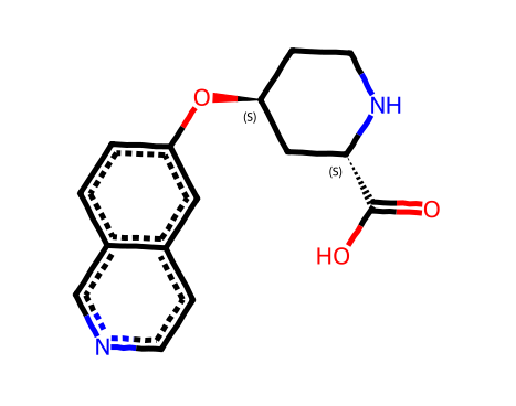 O=C(O)[C@@H]1C[C@@H](Oc2ccc3cnccc3c2)CCN1